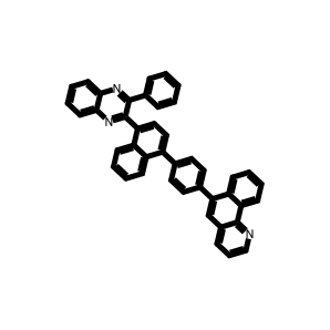 c1ccc(-c2nc3ccccc3nc2-c2ccc(-c3ccc(-c4cc5cccnc5c5ccccc45)cc3)c3ccccc23)cc1